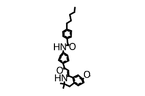 CCCCCc1ccc(C(=O)Nc2ccc(C(=O)C=C3NC(C)(C)Cc4ccc(OC)cc43)cc2)cc1